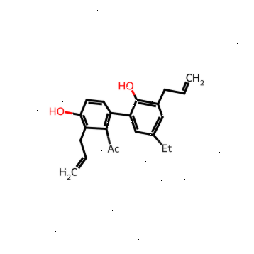 C=CCc1cc(CC)cc(-c2ccc(O)c(CC=C)c2C(C)=O)c1O